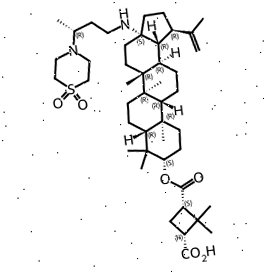 C=C(C)[C@@H]1CC[C@]2(NCC[C@@H](C)N3CCS(=O)(=O)CC3)CC[C@]3(C)[C@H](CC[C@@H]4[C@@]5(C)CC[C@H](OC(=O)[C@H]6C[C@@H](C(=O)O)C6(C)C)C(C)(C)[C@@H]5CC[C@]43C)[C@@H]12